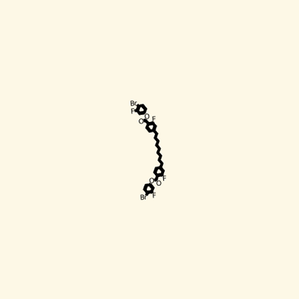 O=C(Oc1ccc(Br)c(F)c1)c1ccc(CCCCCCCCCc2ccc(C(=O)Oc3ccc(Br)c(F)c3)c(F)c2)cc1F